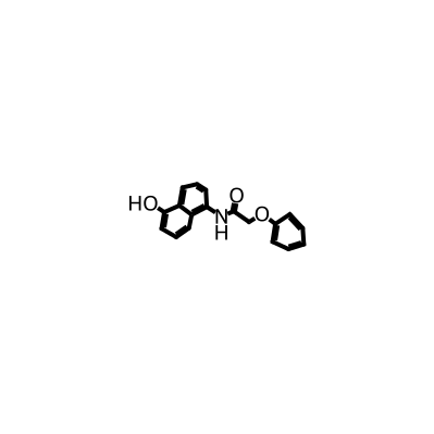 O=C(COc1ccccc1)Nc1cccc2c(O)cccc12